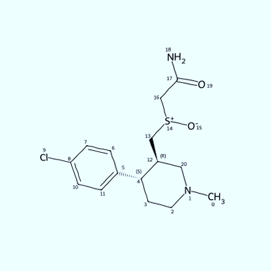 CN1CC[C@H](c2ccc(Cl)cc2)[C@@H](C[S+]([O-])CC(N)=O)C1